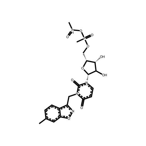 Cc1ccc2c(Cn3c(=O)ccn([C@@H]4O[C@H](COP(C)(=O)O[PH](C)=O)[C@H](O)C4O)c3=O)noc2c1